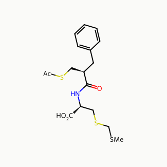 CSCSC[C@H](NC(=O)[C@@H](CSC(C)=O)Cc1ccccc1)C(=O)O